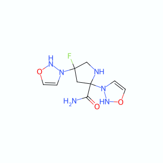 NC(=O)C1(N2C=CON2)CC(F)(N2C=CON2)CN1